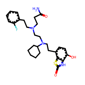 NC(=O)CCN(CCc1ccccc1F)CCN(CCc1ccc(O)c2[nH]c(=O)sc12)C1CCCCC1